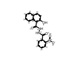 O=C(NNC(=O)c1c(O)ccc2ccccc12)c1ccccc1[N+](=O)[O-]